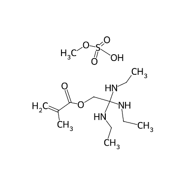 C=C(C)C(=O)OCC(NCC)(NCC)NCC.COS(=O)(=O)O